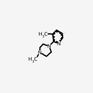 Cc1c[c]cnc1N1CCN(C)CC1